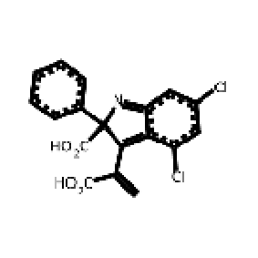 C=C(C(=O)O)C1=c2c(Cl)cc(Cl)cc2=NC1(C(=O)O)c1ccccc1